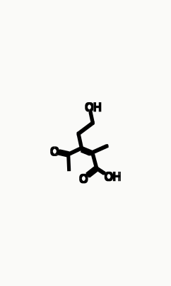 CC(=O)C(CCO)=C(C)C(=O)O